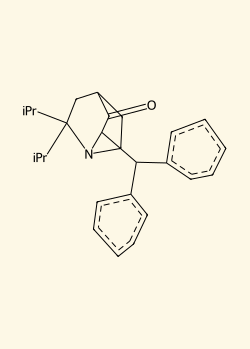 CC(C)C1(C(C)C)CC2CCN1C(C(c1ccccc1)c1ccccc1)C2=O